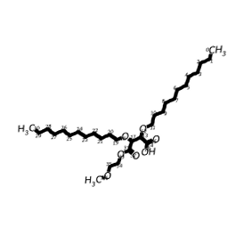 CCCCCCCCCCCCOC(C(=O)O)C(OCCCCCCCCCCCC)C(=O)OCCOC